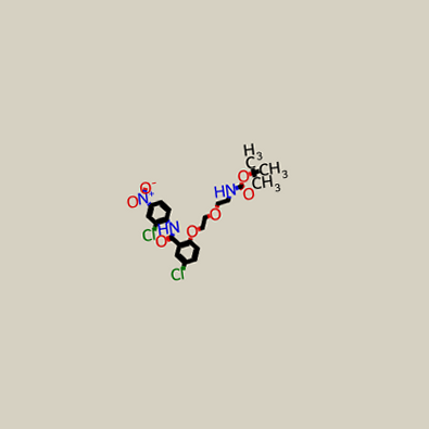 CC(C)(C)OC(=O)NCCOCCOc1ccc(Cl)cc1C(=O)Nc1ccc([N+](=O)[O-])cc1Cl